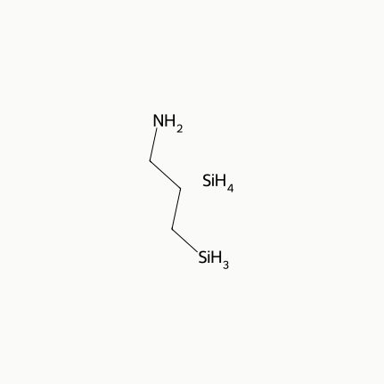 NCCC[SiH3].[SiH4]